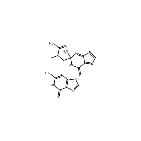 CC(CC1(N)N=C2N=CN=C2C(=O)N1)C(N)=O.Nc1nc2[nH]cnc2c(=O)[nH]1